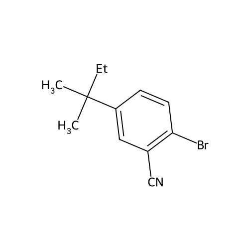 CCC(C)(C)c1ccc(Br)c(C#N)c1